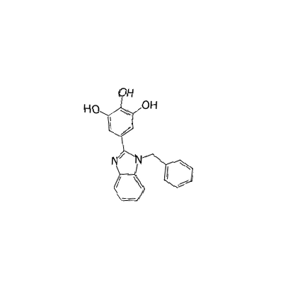 Oc1cc(-c2nc3ccccc3n2Cc2ccccc2)cc(O)c1O